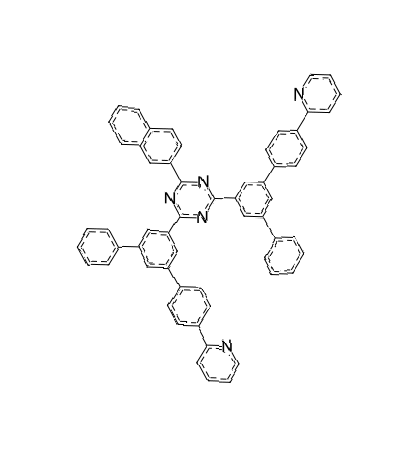 c1ccc(-c2cc(-c3ccc(-c4ccccn4)cc3)cc(-c3nc(-c4cc(-c5ccccc5)cc(-c5ccc(-c6ccccn6)cc5)c4)nc(-c4ccc5ccccc5c4)n3)c2)cc1